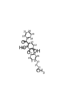 CCCCc1ccc(Oc2c(O)ccc(C(=O)c3ccccc3)c2O)cc1